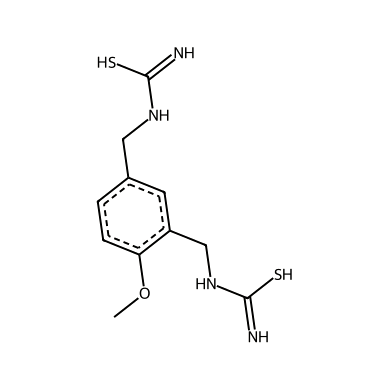 COc1ccc(CNC(=N)S)cc1CNC(=N)S